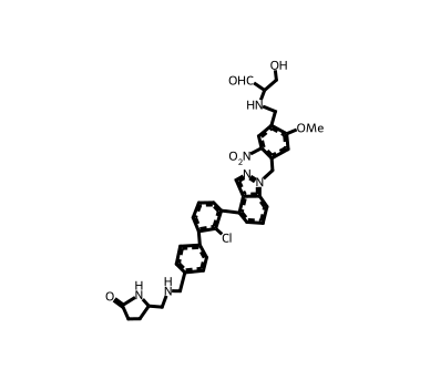 COc1cc(Cn2ncc3c(-c4cccc(-c5ccc(CNCC6CCC(=O)N6)cc5)c4Cl)cccc32)c([N+](=O)[O-])cc1CNC(C=O)CO